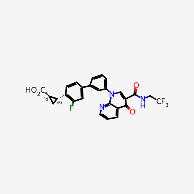 O=C(NCC(F)(F)F)c1cn(-c2cccc(-c3ccc([C@@H]4C[C@H]4C(=O)O)c(F)c3)c2)c2ncccc2c1=O